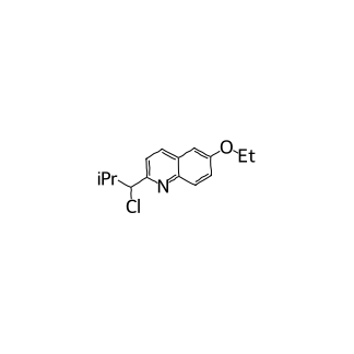 CCOc1ccc2nc(C(Cl)C(C)C)ccc2c1